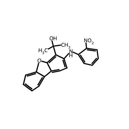 CC(C)(O)c1c(Nc2ccccc2[N+](=O)[O-])ccc2c1oc1ccccc12